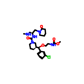 CNC[C@H](CN1CCCCC1=O)NC(=O)N1CCC[C@@H]([C@@H](OCCNC(=O)OC)c2cccc(Cl)c2)C1